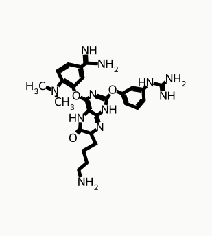 CN(C)c1ccc(C(=N)N)cc1OC1=C2NC(=O)C(CCCCN)N=C2NC(Oc2cccc(NC(=N)N)c2)=N1